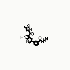 Cc1cc(C(=O)c2c[nH]c3ncc(-c4cccc(C(=O)N=[N+]=[N-])c4)cc23)nn1C